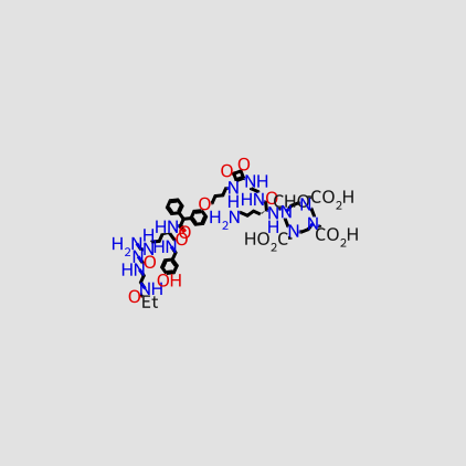 CCC(=O)NCCNC(=O)/N=C(/N)NCCC[C@@H](NC(=O)C(c1ccccc1)c1cccc(OCCCCNc2c(NCCNC(=O)[C@@H](CCCCN)NC(C=O)N3CCN(CC(=O)O)CCN(CC(=O)O)CCN(CC(=O)O)CC3)c(=O)c2=O)c1)C(=O)NCc1ccc(O)cc1